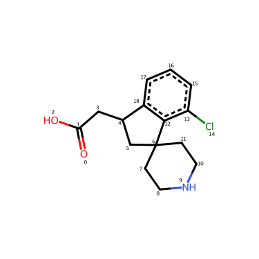 O=C(O)CC1CC2(CCNCC2)c2c(Cl)cccc21